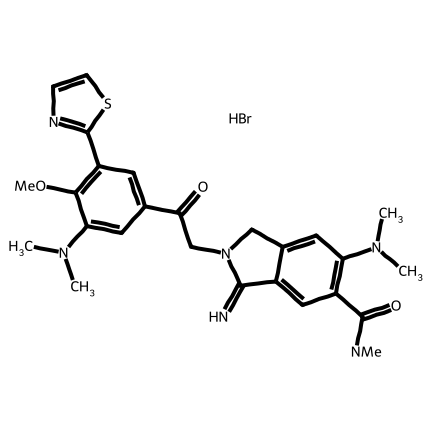 Br.CNC(=O)c1cc2c(cc1N(C)C)CN(CC(=O)c1cc(-c3nccs3)c(OC)c(N(C)C)c1)C2=N